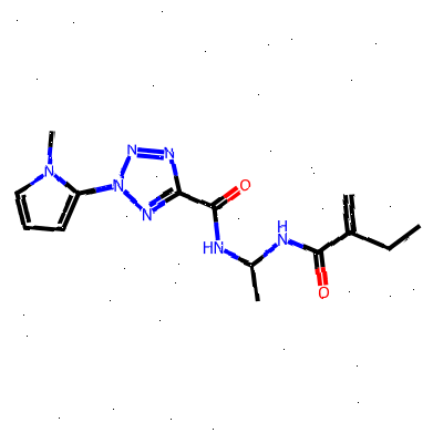 C=C(CC)C(=O)NC(C)NC(=O)c1nnn(-c2cccn2C)n1